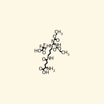 CCOC(=O)N=C(NCCCCNC(=O)CCC(N)C(=O)O)NC(=O)OCC.O=C(O)C(F)(F)F